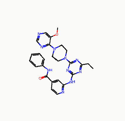 CCc1nc(Nc2cc(C(=O)Nc3ccccc3)ccn2)nc(N2CCN(c3ncncc3OC)CC2)n1